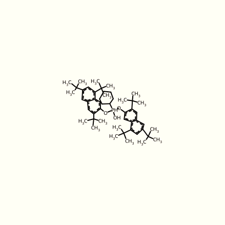 CC(C)(C)c1cc(C(C)(C)C)c2cc(O[PH](O)(Oc3cc4c(C(C)(C)C)cc(C(C)(C)C)cc4cc3C(C)(C)C)C3CCCCC3)c(C(C)(C)C)cc2c1